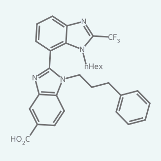 CCCCCCn1c(C(F)(F)F)nc2cccc(-c3nc4cc(C(=O)O)ccc4n3CCCc3ccccc3)c21